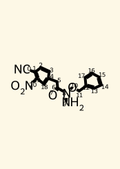 N#Cc1ccc(CC(=O)N(N)OCc2ccccc2)cc1[N+](=O)[O-]